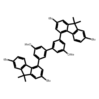 COc1cc(-c2cc(OC)cc(-c3cc(C(C)(C)C)cc4c3-c3ccc(C(C)(C)C)cc3C4(C)C)c2)cc(-c2cc(C(C)(C)C)cc3c2-c2ccc(C(C)(C)C)cc2C3(C)C)c1